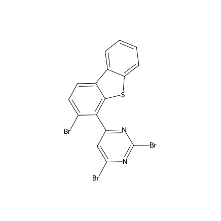 Brc1cc(-c2c(Br)ccc3c2sc2ccccc23)nc(Br)n1